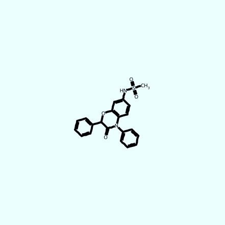 CS(=O)(=O)Nc1ccc2c(c1)OC(c1ccccc1)C(=O)N2c1ccccc1